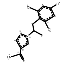 CC(Cc1c(Cl)cc(Cl)cc1Cl)n1cc(C(N)=O)cn1